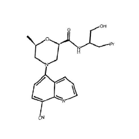 CC(C)CC(CO)NC(=O)[C@H]1CN(c2ccc(C#N)c3ncccc23)C[C@@H](C)O1